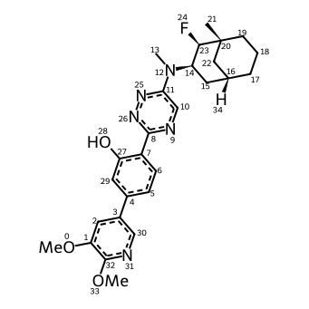 COc1cc(-c2ccc(-c3ncc(N(C)[C@@H]4C[C@H]5CCC[C@](C)(C5)[C@@H]4F)nn3)c(O)c2)cnc1OC